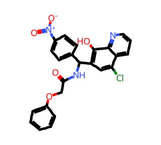 O=C(COc1ccccc1)NC(c1ccc([N+](=O)[O-])cc1)c1cc(Cl)c2cccnc2c1O